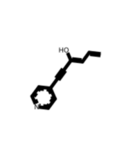 C=C/C=C(\O)C#Cc1ccncc1